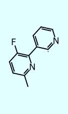 Cc1ccc(F)c(-c2[c]nccc2)n1